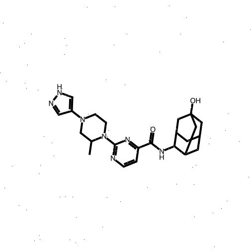 CC1CN(c2cn[nH]c2)CCN1c1nccc(C(=O)NC2C3CC4CC2CC(O)(C4)C3)n1